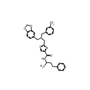 CC(CCc1ccccc1)NC(=O)c1csc(CN(Cc2cccc(C(F)(F)F)c2)Cc2ccc3c(c2)OCO3)n1